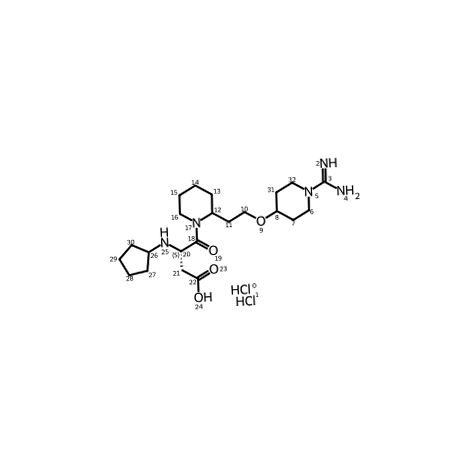 Cl.Cl.N=C(N)N1CCC(OCCC2CCCCN2C(=O)[C@H](CC(=O)O)NC2CCCC2)CC1